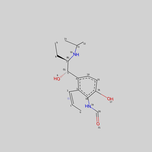 C/C=C\c1c([C@H](O)[C@@H](CC)NC(C)C)ccc(O)c1NC=O